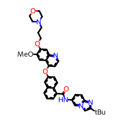 COc1cc2c(Oc3ccc4c(C(=O)Nc5ccc6nc(C(C)(C)C)cn6c5)cccc4c3)ccnc2cc1OCCCN1CCOCC1